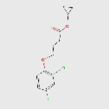 O=C(CCCOc1ccc(Cl)cc1Cl)OC1CC1